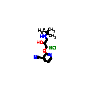 CC(C)(C)NCC(O)COc1ncccc1C#N.Cl